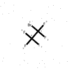 FC(F)(Br)C(F)(F)I